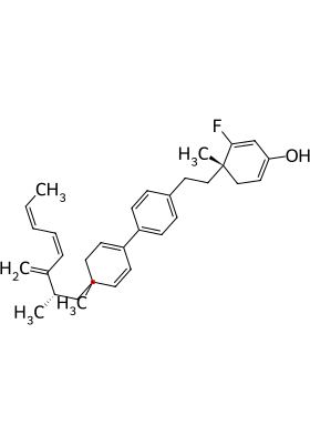 C=C(/C=C\C=C/C)[C@@H](C)CC/C=C\C(=C/CCC)c1ccc(CC[C@@]2(C)CC=C(O)C=C2F)cc1